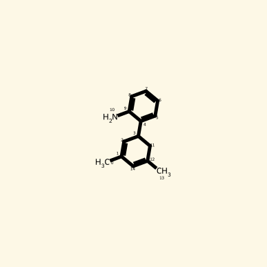 CC1=CC(c2ccccc2N)CC(C)=C1